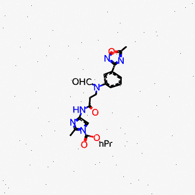 CCCOC(=O)n1cc(NC(=O)CCN(C=O)c2cccc(-c3noc(C)n3)c2)nc1C